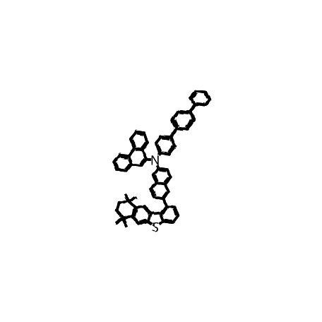 CC1(C)CCC(C)(C)c2cc3c(cc21)sc1cccc(-c2ccc4cc(N(c5ccc(-c6ccc(-c7ccccc7)cc6)cc5)c5cc6ccccc6c6ccccc56)ccc4c2)c13